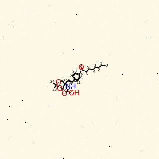 CCCCCCCC(=O)c1ccc(C=CC2(NC(=O)O)COC(C)(C)OC2)cc1